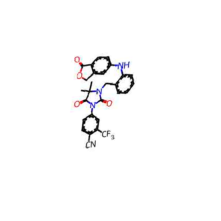 CC1(C)C(=O)N(c2ccc(C#N)c(C(F)(F)F)c2)C(=O)N1Cc1ccccc1Nc1ccc2c(c1)COC2=O